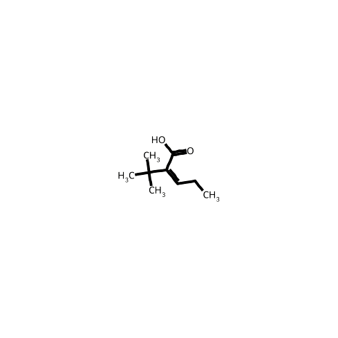 CC/C=C(\C(=O)O)C(C)(C)C